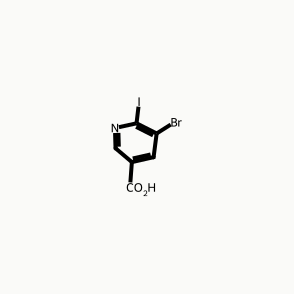 O=C(O)c1cnc(I)c(Br)c1